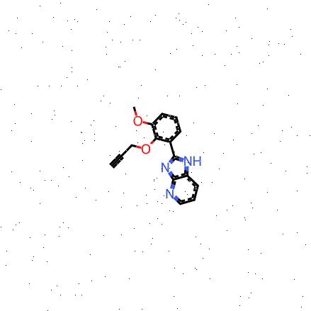 C#CCOc1c(OC)cccc1-c1nc2ncccc2[nH]1